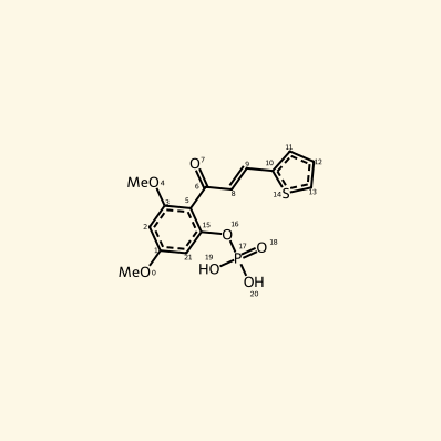 COc1cc(OC)c(C(=O)C=Cc2cccs2)c(OP(=O)(O)O)c1